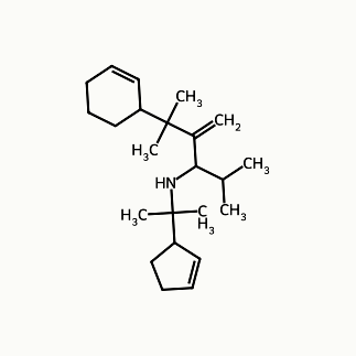 C=C(C(NC(C)(C)C1C=CCC1)C(C)C)C(C)(C)C1C=CCCC1